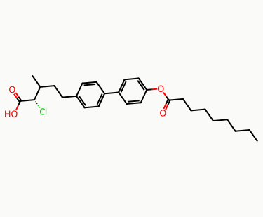 CCCCCCCCC(=O)Oc1ccc(-c2ccc(CCC(C)[C@H](Cl)C(=O)O)cc2)cc1